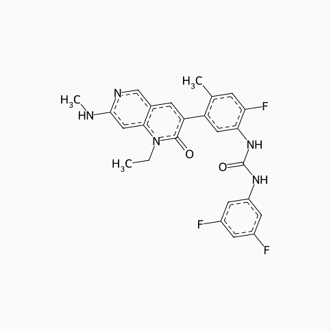 CCn1c(=O)c(-c2cc(NC(=O)Nc3cc(F)cc(F)c3)c(F)cc2C)cc2cnc(NC)cc21